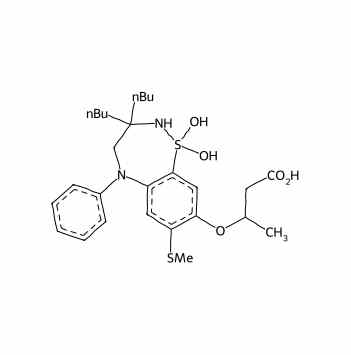 CCCCC1(CCCC)CN(c2ccccc2)c2cc(SC)c(OC(C)CC(=O)O)cc2S(O)(O)N1